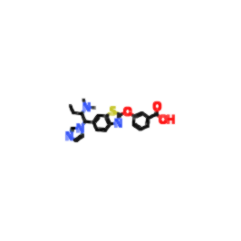 CCC(C(c1ccc2nc(Oc3cccc(C(=O)O)c3)sc2c1)n1ccnc1)N(C)C